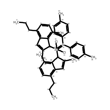 CCCc1ccc(C)c2c1C=C(C)[CH]2[Zr]([Cl])([Cl])([CH]1C(C)=Cc2c(CCC)ccc(C)c21)=[Si](c1ccc(C)cc1)c1ccc(C)cc1